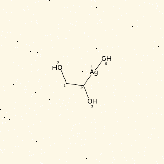 OC[CH](O)[Ag][OH]